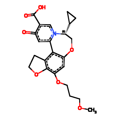 COCCCOc1cc2c(c3c1OCC3)-c1cc(=O)c(C(=O)O)cn1[C@H](C1CC1)CO2